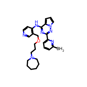 Bc1cccc(-c2nc(Nc3ccncc3COCCCN3CCCCCC3)c3cccn3n2)n1